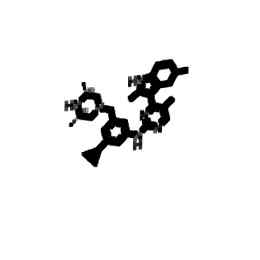 Cc1cnc(Nc2cc(CN3C[C@@H](C)N[C@@H](C)C3)cc(C3CC3)c2)nc1-c1c(C)[nH]c2c1CC(C)C=C2